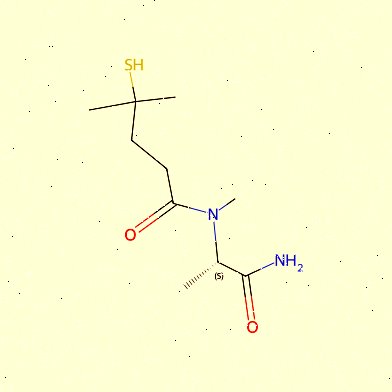 C[C@@H](C(N)=O)N(C)C(=O)CCC(C)(C)S